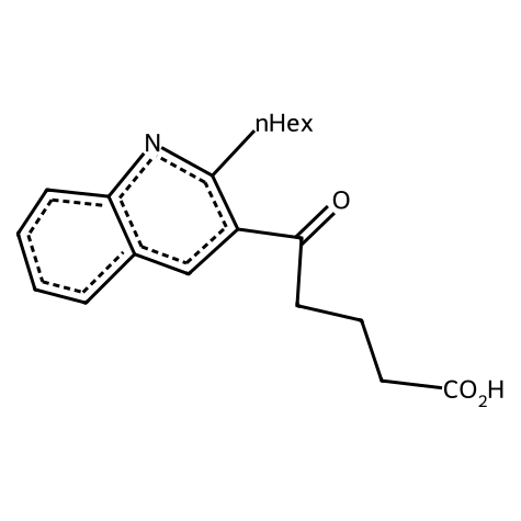 CCCCCCc1nc2ccccc2cc1C(=O)CCCC(=O)O